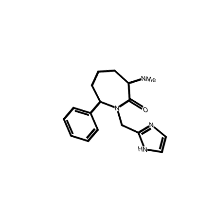 CNC1CCCC(c2ccccc2)N(Cc2ncc[nH]2)C1=O